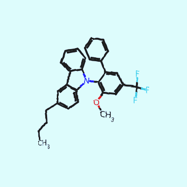 CCCCc1ccc2c(c1)c1ccccc1n2-c1c(OC)cc(C(F)(F)F)cc1-c1ccccc1